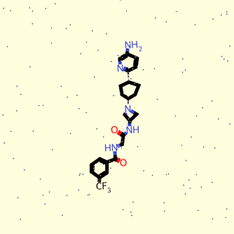 Nc1ccc([C@H]2CC[C@@H](N3CC(NC(=O)CNC(=O)c4cccc(C(F)(F)F)c4)C3)CC2)nc1